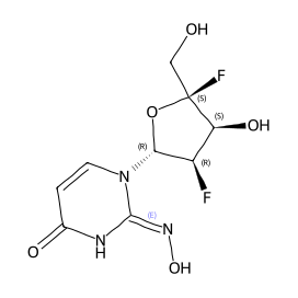 O=c1ccn([C@@H]2O[C@](F)(CO)[C@@H](O)[C@H]2F)/c(=N/O)[nH]1